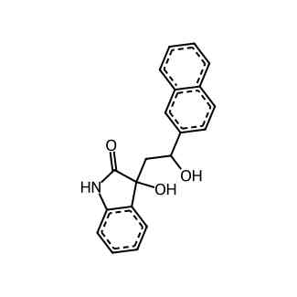 O=C1Nc2ccccc2C1(O)CC(O)c1ccc2ccccc2c1